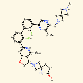 COc1nc(-c2cccc(-c3cccc(-c4cc5c(c(OC)n4)[C@@H](N4CC6(CCC(=O)N6)C4)CO5)c3F)c2F)cnc1CN1CC2(C1)CN(C(C)=O)C2